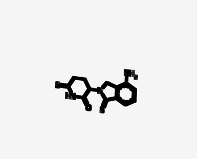 Nc1cccc2c1CN(C1CCC(=S)NC1=O)C2=S